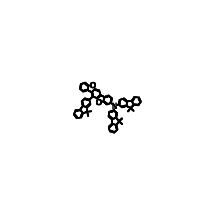 CC1(C)c2ccccc2-c2ccc(-c3c4oc5cc(N(c6ccc7c(c6)C(C)(C)c6ccccc6-7)c6ccc7c(c6)C(C)(C)c6ccccc6-7)ccc5c4cc4oc5ccccc5c34)cc21